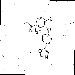 CC[C@@H](N)c1ccc(Cl)c(Oc2ccc(-c3cnco3)cc2)c1F